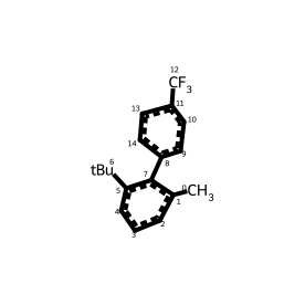 Cc1cccc(C(C)(C)C)c1-c1ccc(C(F)(F)F)cc1